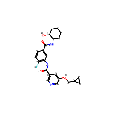 O=C(Nc1cc(C(=O)N[C@H]2CCCC[C@@H]2O)ccc1F)c1cncc(OCC2CC2)c1